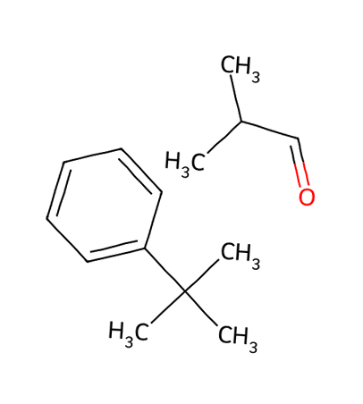 CC(C)(C)c1ccccc1.CC(C)C=O